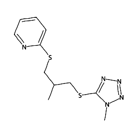 CC(CSc1ccccn1)CSc1nnnn1C